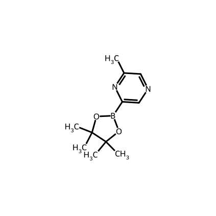 Cc1cncc(B2OC(C)(C)C(C)(C)O2)n1